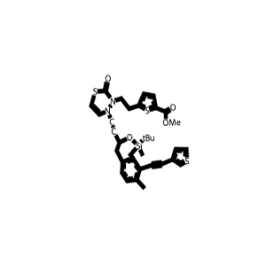 COC(=O)c1ccc(CCN2C(=O)SC=CN2CCC(Cc2ccc(C)c(C#Cc3ccsc3)c2)O[Si](C)(C)C(C)(C)C)s1